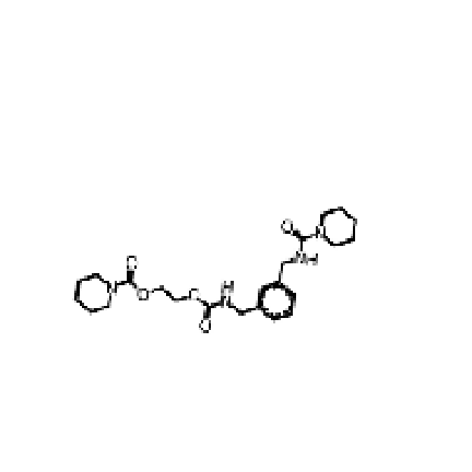 O=C(NCc1cccc(CNC(=O)N2CCCCC2)c1)OCCOC(=O)N1CCCCC1